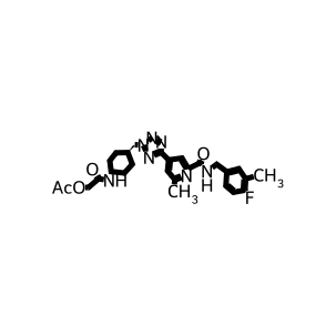 CC(=O)OCC(=O)N[C@H]1CC[C@H](Cn2nnc(-c3cc(C)nc(C(=O)NCc4ccc(F)c(C)c4)c3)n2)CC1